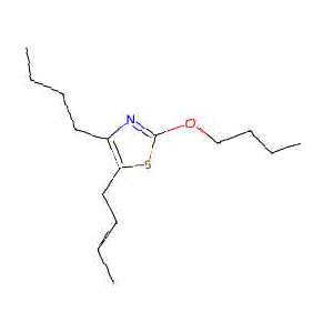 CCCCOc1nc(CCCC)c(CCCC)s1